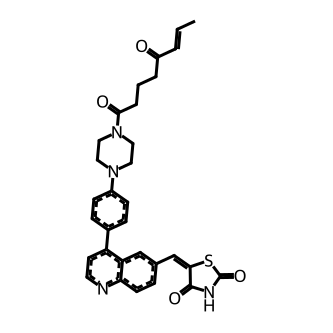 CC=CC(=O)CCCC(=O)N1CCN(c2ccc(-c3ccnc4ccc(C=C5SC(=O)NC5=O)cc34)cc2)CC1